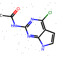 O=C(Nc1nc(Cl)c2cc[nH]c2n1)C(F)(F)F